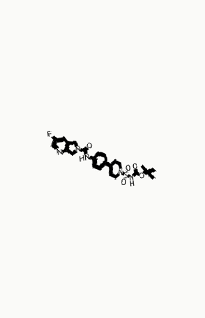 CC(C)(C)OC(=O)NS(=O)(=O)N1CC=C(c2ccc(NC(=O)N3Cc4cc(F)cnc4C3)cc2)CC1